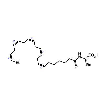 CC/C=C\C/C=C\C/C=C\C/C=C\C/C=C\CCCCCC(=O)N[C@H](C(=O)O)C(C)CC